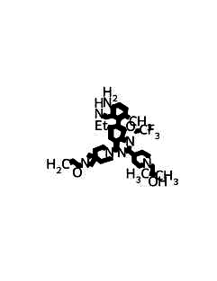 C=CC(=O)N1CC2(CCN(c3nc(C4CCN(CC(C)(C)O)CC4)nc4c(OCC(F)(F)F)c(-c5c(C)ccc(N)c5C=N)c(CC)cc34)CC2)C1